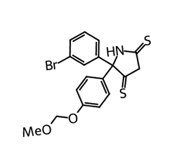 COCOc1ccc(C2(c3cccc(Br)c3)NC(=S)CC2=S)cc1